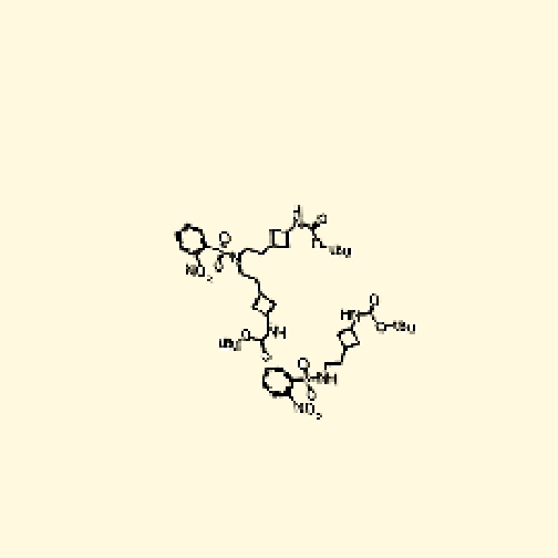 CC(C)(C)OC(=O)NC1CC(CCN(CCC2CC(NC(=O)OC(C)(C)C)C2)S(=O)(=O)c2ccccc2[N+](=O)[O-])C1.CC(C)(C)OC(=O)NC1CC(CCNS(=O)(=O)c2ccccc2[N+](=O)[O-])C1